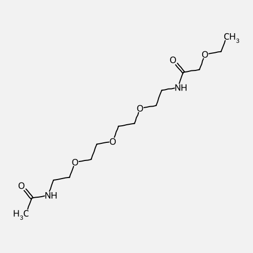 CCOCC(=O)NCCOCCOCCOCCNC(C)=O